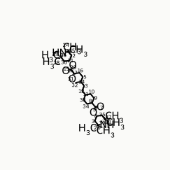 CC1(C)CC(OC(=O)C2CCC(CCC3CCC(C(=O)OC4CC(C)(C)NC(C)(C)C4)OC3)CC2)CC(C)(C)N1